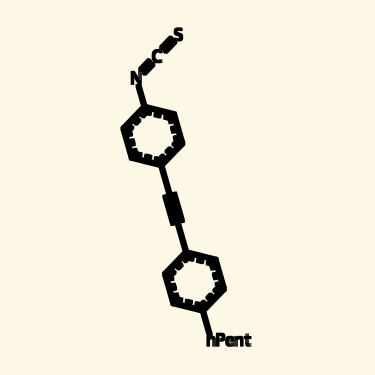 CCCCCc1ccc(C#Cc2ccc(N=C=S)cc2)cc1